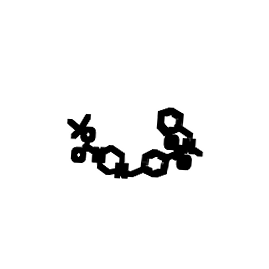 CN(Cc1ccccc1)S(=O)(=O)c1ccc(CN2CCN(C(=O)OC(C)(C)C)CC2)cc1